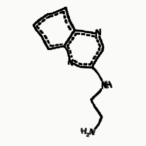 NCCNc1cnc2ccccc2n1